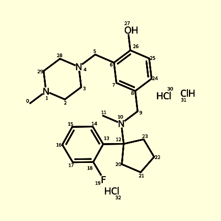 CN1CCN(Cc2cc(CN(C)C3(c4ccccc4F)CCCC3)ccc2O)CC1.Cl.Cl.Cl